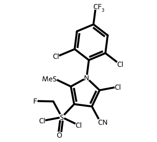 CSc1c(S(=O)(Cl)(Cl)CF)c(C#N)c(Cl)n1-c1c(Cl)cc(C(F)(F)F)cc1Cl